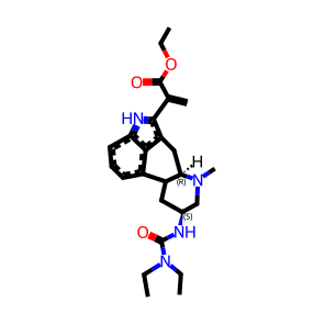 C=C(C(=O)OCC)c1[nH]c2cccc3c2c1C[C@@H]1C3C[C@H](NC(=O)N(CC)CC)CN1C